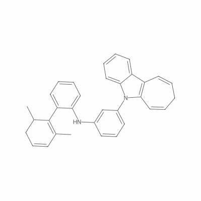 CC1=C(c2ccccc2Nc2cccc(-n3c4c(c5ccccc53)C=CCC=C4)c2)C(C)CC=C1